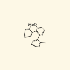 COc1cc[c]c(-c2ccccc2C)c1-c1ccccc1C